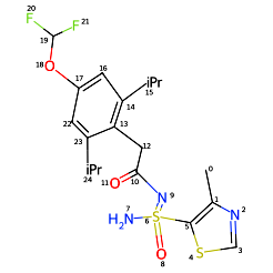 Cc1ncsc1S(N)(=O)=NC(=O)Cc1c(C(C)C)cc(OC(F)F)cc1C(C)C